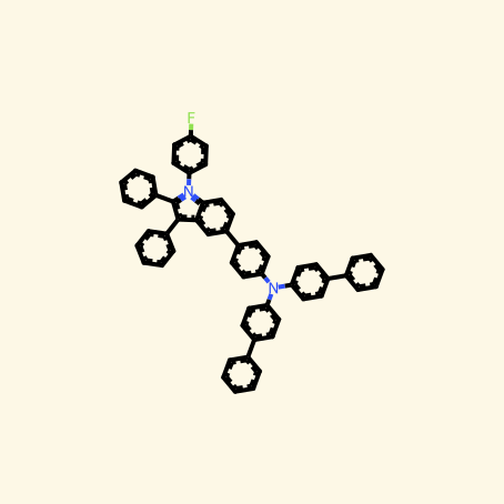 Fc1ccc(-n2c(-c3ccccc3)c(-c3ccccc3)c3cc(-c4ccc(N(c5ccc(-c6ccccc6)cc5)c5ccc(-c6ccccc6)cc5)cc4)ccc32)cc1